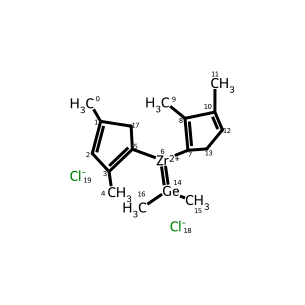 CC1=CC(C)=[C]([Zr+2]([C]2=C(C)C(C)=CC2)=[Ge]([CH3])[CH3])C1.[Cl-].[Cl-]